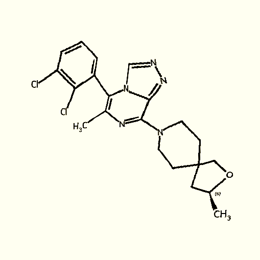 Cc1nc(N2CCC3(CC2)CO[C@@H](C)C3)c2nncn2c1-c1cccc(Cl)c1Cl